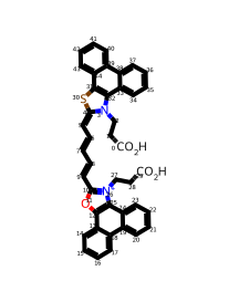 O=C(O)CCN1\C(=C/C=C/C=C/c2oc3c4ccccc4c4ccccc4c3[n+]2CCC(=O)O)Sc2c1c1ccccc1c1ccccc21